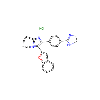 Cl.c1ccc2oc(-c3c(-c4ccc(C5=NCCN5)cc4)nc4ccccn34)cc2c1